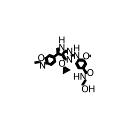 COc1cc(C(=O)NCCO)ccc1Nc1nc(OC2CC2)c2c(-c3ccc4nc(C)oc4c3)c[nH]c2n1